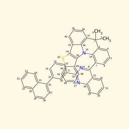 CC1(C)c2cccc(-c3nc(-c4cccc(-c5cccc6ccccc56)c4)nc4ccccc34)c2-n2c3c1cccc3c1sc3ccccc3c12